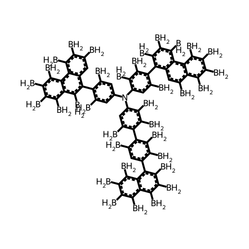 Bc1cc2c(-c3c(B)cc(N(c4cc(B)c(-c5c(B)cc(-c6c(B)c(B)c(B)c7c(B)c(B)c(B)c(B)c67)c(B)c5B)c(B)c4B)c4cc(B)c(-c5c(B)c(B)c(B)c6c5cc(B)c5c(B)c(B)c(B)c(B)c56)c(B)c4B)cc3B)c(B)c3c(B)c(B)c(B)c(B)c3c2c(B)c1B